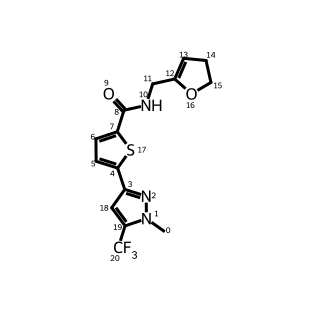 Cn1nc(-c2ccc(C(=O)NCC3=CCCO3)s2)cc1C(F)(F)F